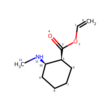 C=COC(=O)[C@H]1CCCC[C@H]1NC